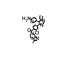 CCc1ncnc(-c2ccc(C(=O)N3CCn4c(C)cnc4C3)c(Cl)c2)c1-c1ccc(N)nc1